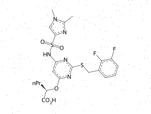 CCC[C@@H](Oc1cc(NS(=O)(=O)c2cn(C)c(C)n2)nc(SCc2cccc(F)c2F)n1)C(=O)O